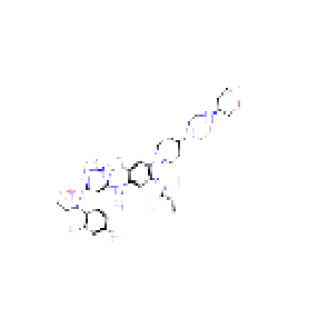 C=CC(=O)Nc1cc(Nc2cc(N3OCCC3c3ccc(F)cc3F)ncn2)c(OC)cc1N1CCC(N2CCN(C3CCOCC3)CC2)CC1